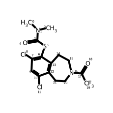 CN(C)C(=O)Sc1c(Cl)cc(Cl)c2c1CCN(C(=O)C(F)(F)F)CC2